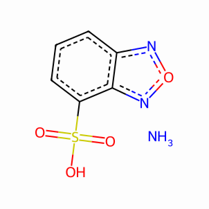 N.O=S(=O)(O)c1cccc2nonc12